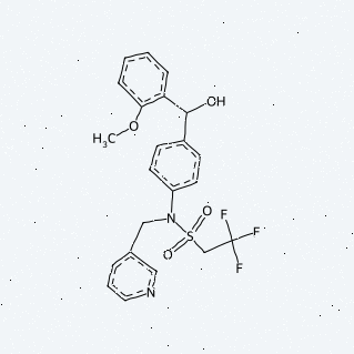 COc1ccccc1C(O)c1ccc(N(Cc2cccnc2)S(=O)(=O)CC(F)(F)F)cc1